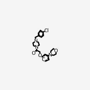 O=C(COc1cccc(N2CCOCC2)c1)N1CCN(Cc2ccc(Cl)cc2)CC1